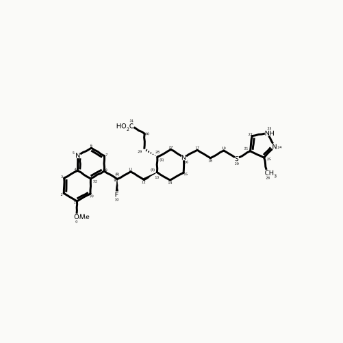 COc1ccc2nccc([C@H](F)CC[C@@H]3CCN(CCCSc4c[nH]nc4C)C[C@H]3CCC(=O)O)c2c1